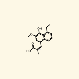 CCc1cccc2c(/C=C(/C)C(=O)O)cc(OC)c(O)c12